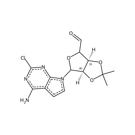 CC1(C)O[C@@H]2C(C=O)OC(n3ccc4c(N)nc(Cl)nc43)[C@@H]2O1